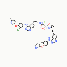 Cc1ccc(Oc2ccc(Nc3ncnc4ccc(C#CC5(NC(=O)C(O)C(F)C(=O)NC/C=C\c6ccc7ncnc(Nc8ccc(Oc9ccc(C)nc9)c(Cl)c8)c7c6)CC5)cc34)cc2C)cn1